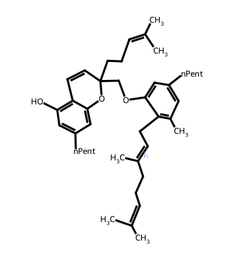 CCCCCc1cc(O)c2c(c1)OC(CCC=C(C)C)(COc1cc(CCCCC)cc(C)c1C/C=C(\C)CCC=C(C)C)C=C2